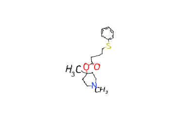 CN1CCC(C)(OC(=O)CCCSc2ccccc2)CC1